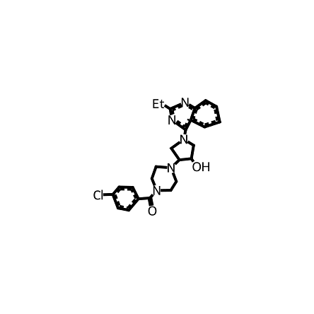 CCc1nc(N2CC(O)C(N3CCN(C(=O)c4ccc(Cl)cc4)CC3)C2)c2ccccc2n1